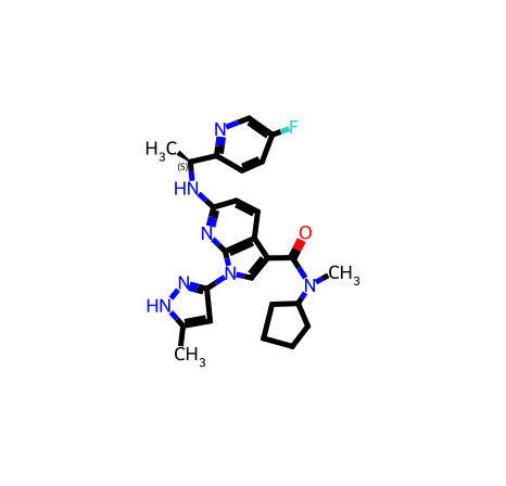 Cc1cc(-n2cc(C(=O)N(C)C3CCCC3)c3ccc(N[C@@H](C)c4ccc(F)cn4)nc32)n[nH]1